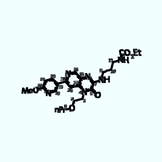 CCCOCCn1c(=O)c(NCCCNC(=O)OCC)nc2cnc(-c3ccc(OC)nc3)cc21